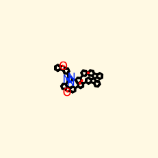 c1ccc(-c2cccc(-c3nc(-c4ccc5oc6ccccc6c5c4)nc(-c4cccc5oc6ccc(-c7ccc(-c8ccc9c(c8)-c8ccccc8C98c9ccccc9-c9ccccc98)cc7)cc6c45)n3)c2)cc1